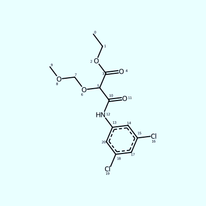 CCOC(=O)C(OCOC)C(=O)Nc1cc(Cl)cc(Cl)c1